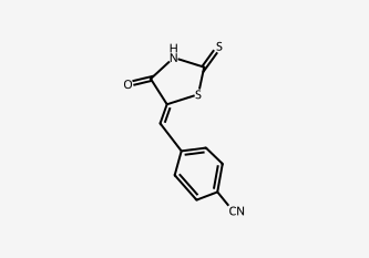 N#Cc1ccc(/C=C2\SC(=S)NC2=O)cc1